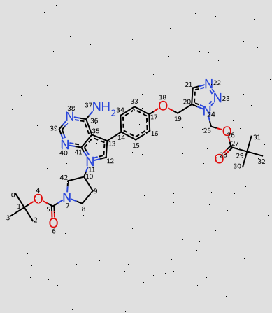 CC(C)(C)OC(=O)N1CCC(n2cc(-c3ccc(OCc4cnnn4COC(=O)C(C)(C)C)cc3)c3c(N)ncnc32)C1